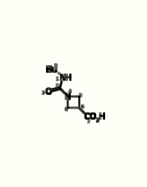 CC[C@@H](C)NC(=O)N1CC(C(=O)O)C1